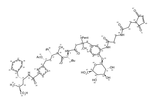 CCCCC[N+](C)(CC(=O)N[C@H](C(=O)N(C)[C@H](C[C@@H](OC(C)=O)c1nc(C(=O)N[C@@H](Cc2ccccc2)C[C@H](C)C(=O)O)cs1)C(C)C)[C@@H](C)CC)Cc1ccc(O[C@@H]2O[C@H](C(=O)O)[C@@H](O)[C@H](O)[C@H]2O)c(NC(=O)CCNC(=O)CCN2C(=O)C=CC2=O)c1